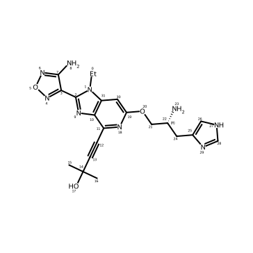 CCn1c(-c2nonc2N)nc2c(C#CC(C)(C)O)nc(OC[C@H](N)Cc3c[nH]cn3)cc21